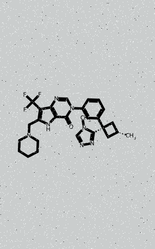 Cn1cnnc1[C@]1(c2cccc(-n3cnc4c(C(F)(F)F)c(CN5CCCCC5)[nH]c4c3=O)c2)C[C@H](C)C1